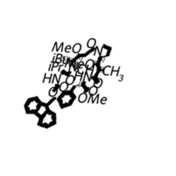 CC[C@H](C)[C@@H]([C@@H](CC(=O)N1CCC[C@H]1[C@H](OC)[C@@H](C)C(=O)N[C@@H](Cc1ccccc1)C(=O)OC)OC)N(C)C(=O)C(NC(=O)OCC1c2ccccc2-c2ccccc21)C(C)C